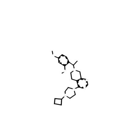 COc1ccc(C(C)N2CCc3c(ncnc3N3CCN(C4CCC4)CC3)C2)c(OC)c1